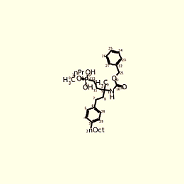 CCCC.CCCCCCCCc1ccc(CCC(C)(CCP(=O)(O)O)NC(=O)OCc2ccccc2)cc1